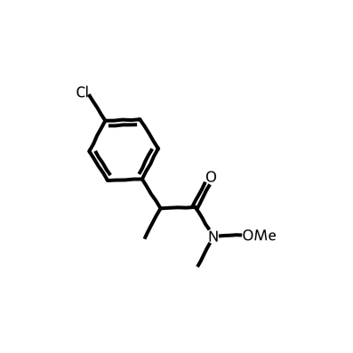 CON(C)C(=O)C(C)c1ccc(Cl)cc1